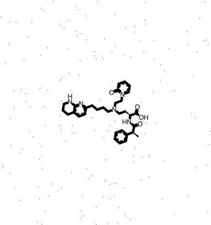 C[C@H](C(=O)N[C@@H](CCN(CCCCc1ccc2c(n1)NCCC2)CCn1ccccc1=O)C(=O)O)c1ccccc1